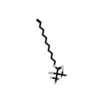 C=CCCCCCCCCCCOC(=O)C(O)(C(F)(F)F)C(F)(F)F